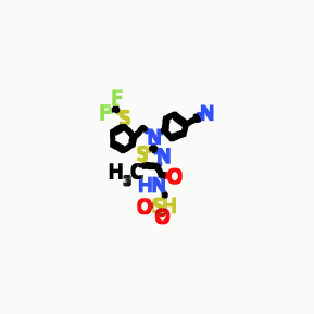 Cc1sc(N(Cc2ccccc2SC(F)F)c2ccc(C#N)cc2)nc1C(=O)NC[SH](=O)=O